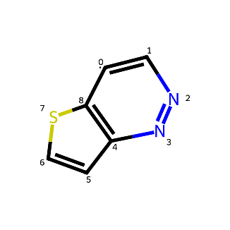 [c]1cnnc2ccsc12